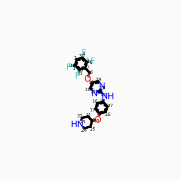 Fc1cc(F)c(F)c(COc2cnc(Nc3ccc(OC4CCNCC4)cc3)nc2)c1F